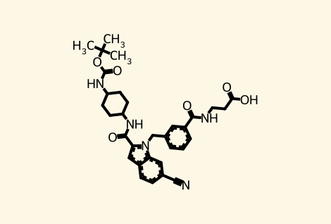 CC(C)(C)OC(=O)NC1CCC(NC(=O)c2cc3ccc(C#N)cc3n2Cc2cccc(C(=O)NCCC(=O)O)c2)CC1